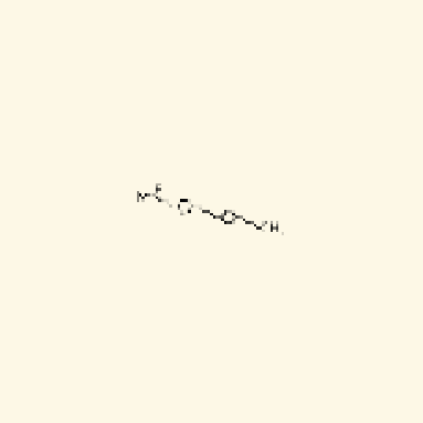 CCCCCc1ccc(CCCC[C@H]2CC[C@H](CCC=C(F)C#N)CC2)cc1